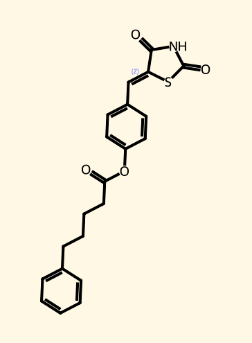 O=C(CCCCc1ccccc1)Oc1ccc(/C=C2\SC(=O)NC2=O)cc1